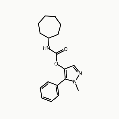 Cn1ncc(OC(=O)NC2CCCCCC2)c1-c1ccccc1